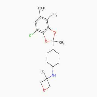 Cc1c(C(=O)O)cc(Cl)c2c1OC(C)(C1CCC(NC3(C(F)(F)F)COC3)CC1)O2